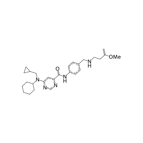 C=C(CCNCc1ccc(NC(=O)c2cc(N(CC3CC3)C3CCCCC3)ncn2)cc1)OC